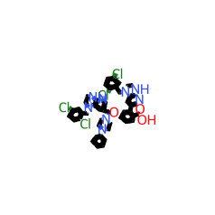 O=C(O)c1ccccc1-c1cnc2c(c1)N(Cc1cc(Cl)ccc1Cl)CCN2.O=C(c1cnc2c(c1)N(Cc1cc(Cl)ccc1Cl)CCN2)N1CCN(c2ccccc2)CC1